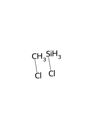 CCl.[SiH3]Cl